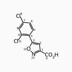 O=C(O)c1cc(-c2ccc(Cl)cc2Cl)on1